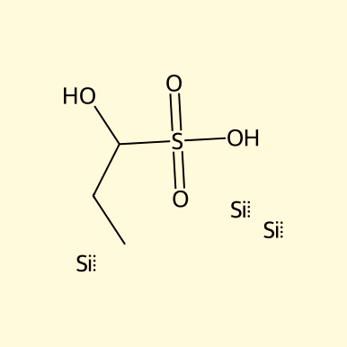 CCC(O)S(=O)(=O)O.[Si].[Si].[Si]